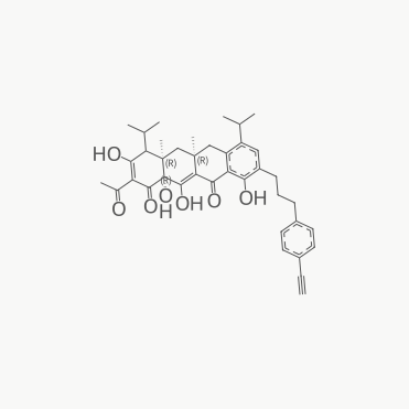 C#Cc1ccc(CCCc2cc(C(C)C)c3c(c2O)C(=O)C2=C(O)[C@@]4(O)C(=O)C(C(C)=O)=C(O)C(C(C)C)[C@@]4(C)C[C@@]2(C)C3)cc1